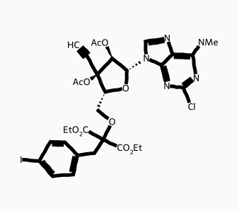 C#C[C@@]1(OC(C)=O)[C@@H](COC(Cc2ccc(I)cc2)(C(=O)OCC)C(=O)OCC)O[C@@H](n2cnc3c(NC)nc(Cl)nc32)[C@@H]1OC(C)=O